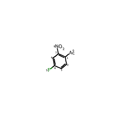 CC(=O)c1ccc(F)cc1[N+](=O)[O-]